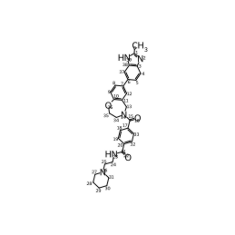 Cc1nc2ccc(-c3ccc4c(c3)CN(C(=O)c3ccc(C(=O)NCCN5CCCCC5)cc3)CCO4)cc2[nH]1